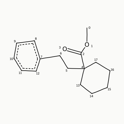 COC(=O)C1(CCc2ccccc2)CCCCC1